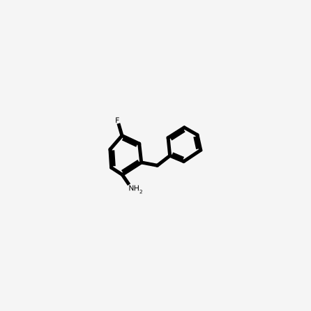 Nc1ccc(F)cc1Cc1ccccc1